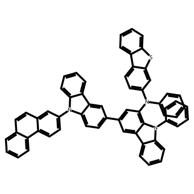 c1ccc(N(c2ccc3c(c2)sc2ccccc23)c2cc(-c3ccc4c(c3)c3ccccc3n4-c3ccc4c(ccc5ccccc54)c3)cc3c4ccccc4n(-c4ccccc4)c23)cc1